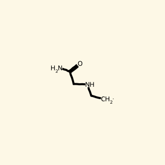 [CH2]CNCC(N)=O